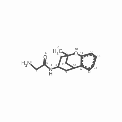 CC12CC(NC(=O)CN)CC(C1)c1ccccc1O2